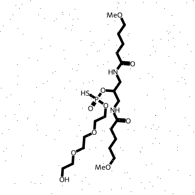 COCCCCC(=O)NCC(CNC(=O)CCCCOC)OP(=O)(S)OCCOCCOCCO